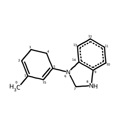 CC1=CCCC(N2CNc3ccccc32)=C1